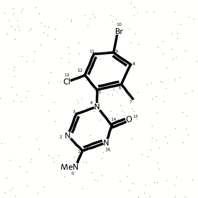 CNc1ncn(-c2c(C)cc(Br)cc2Cl)c(=O)n1